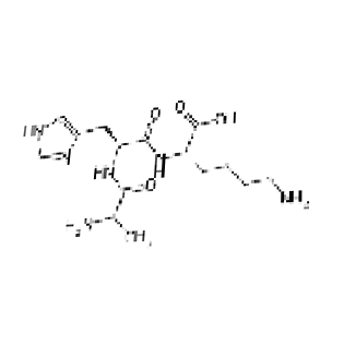 CC(N)C(=O)N[C@@H](Cc1c[nH]cn1)C(=O)N[C@@H](CCCCN)C(=O)O